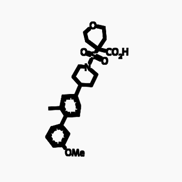 COc1cccc(-c2ccc(C3CCN(S(=O)(=O)C4(C(=O)O)CCOCC4)CC3)cc2C)c1